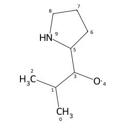 CC(C)C([O])C1CCCN1